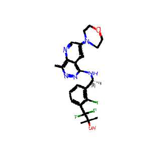 Cc1nnc(N[C@H](C)c2cccc(C(F)(F)C(C)(C)O)c2F)c2cc(N3CCOCC3)cnc12